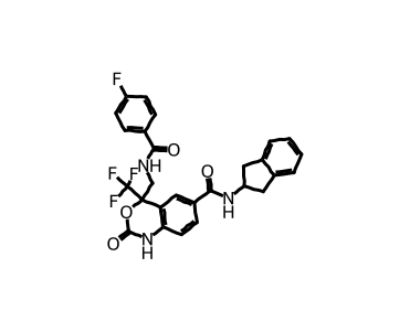 O=C1Nc2ccc(C(=O)NC3Cc4ccccc4C3)cc2C(CNC(=O)c2ccc(F)cc2)(C(F)(F)F)O1